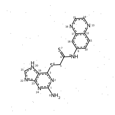 Nc1nc(SCC(=S)Nc2ccc3nccnc3c2)c2[nH]cnc2n1